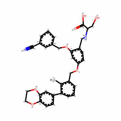 Cc1c(COc2ccc(CNC(CO)C(=O)O)c(OCc3cccc(C#N)c3)c2)cccc1-c1ccc2c(c1)OCCO2